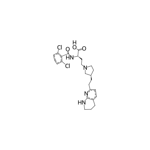 O=C(N[C@H](CCN1CC[C@@H](CCc2ccc3c(n2)NCCC3)C1)C(=O)O)c1c(Cl)cccc1Cl